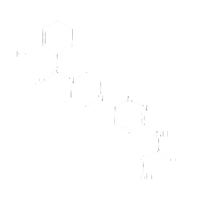 CCCOC(=O)Nc1ccc(N2CCN(C(=O)c3ccccc3C(F)(F)F)CC2)nn1